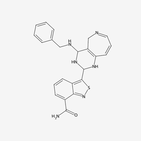 NC(=O)c1cccc2c(C3NC4=C(CN=CC=C4)C(NCc4ccccc4)N3)snc12